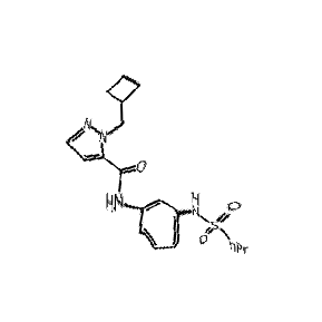 CCCS(=O)(=O)Nc1cccc(NC(=O)c2ccnn2CC2CCC2)c1